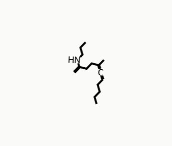 C=C(CCC(C)=C=CCCCC)NCCC